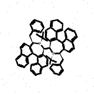 CC(C)(C)[P@@]1[C@H](Cc2ccccc2)c2ccc3ccccc3c2-c2c(ccc3ccccc23)[C@@H]1[C@H]1c2ccc3ccccc3c2-c2c(ccc3ccccc23)[C@@H](Cc2ccccc2)[P@]1C(C)(C)C